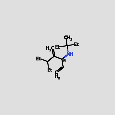 C=C[C@H](NC(C)(CC)CC)C(=C)C(CC)CC